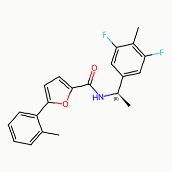 Cc1ccccc1-c1ccc(C(=O)N[C@H](C)c2cc(F)c(C)c(F)c2)o1